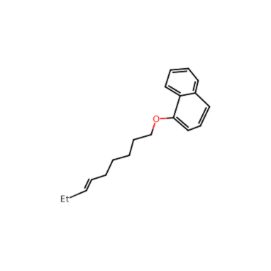 CCC=CCCCCCOc1cccc2ccccc12